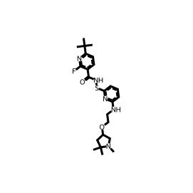 CN1CC(OCCNc2cccc(SNC(=O)c3ccc(C(C)(C)C)nc3F)n2)CC1(C)C